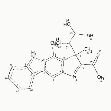 Cc1c2c(cc3c1[nH]c1ccccc13)N=C(C(=O)O)C2(C)C(C)C(O)O